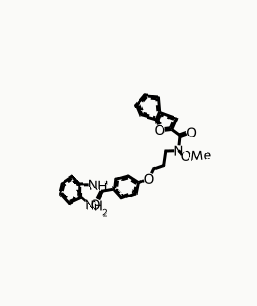 CON(CCCOc1ccc(C(=O)Nc2ccccc2N)cc1)C(=O)c1cc2ccccc2o1